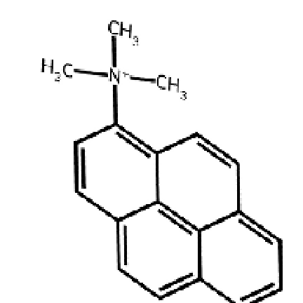 C[N+](C)(C)c1ccc2ccc3cccc4ccc1c2c34